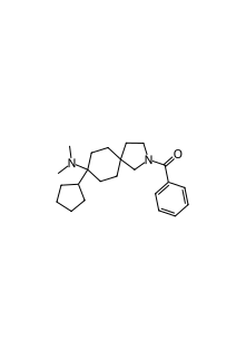 CN(C)C1(C2CCCC2)CCC2(CCN(C(=O)c3ccccc3)C2)CC1